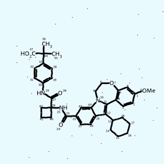 COc1ccc2c(c1)OCCn1c-2c(C2CCCCC2)c2ccc(C(=O)NC3(C(=O)Nc4ccc(C(C)(C)C(=O)O)cc4)CCC3)cc21